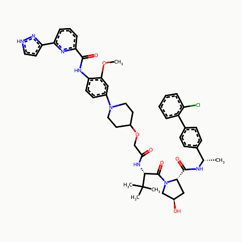 COc1cc(N2CCC(OCC(=O)N[C@H](C(=O)N3C[C@H](O)C[C@H]3C(=O)N[C@@H](C)c3ccc(-c4ccccc4Cl)cc3)C(C)(C)C)CC2)ccc1NC(=O)c1cccc(-c2cc[nH]n2)n1